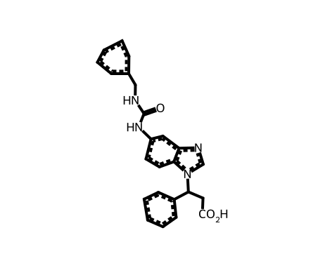 O=C(O)CC(c1ccccc1)n1cnc2cc(NC(=O)NCc3ccccc3)ccc21